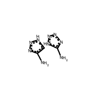 Nc1c[nH]nn1.Nc1nnn[nH]1